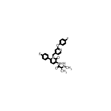 CN[C@@H](C)C(=O)Nc1ccc(-c2ccc(F)cc2)n(Cc2ccnc(Oc3ccc(F)cc3)c2)c1=O